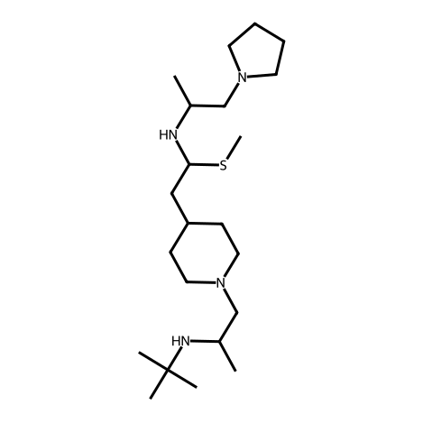 CSC(CC1CCN(CC(C)NC(C)(C)C)CC1)NC(C)CN1CCCC1